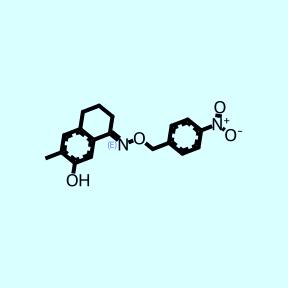 Cc1cc2c(cc1O)/C(=N/OCc1ccc([N+](=O)[O-])cc1)CCC2